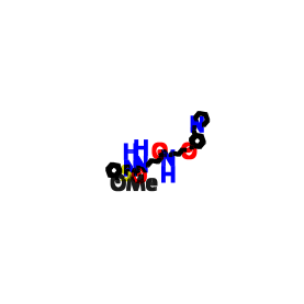 COc1ccccc1SNC(=O)NCCCC(=O)NCCCOc1cccc(CN2CCCCC2)c1